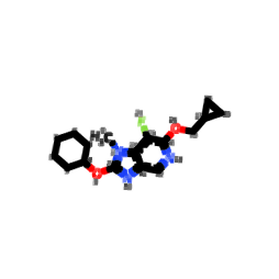 Cn1c(OC2CCCCC2)nc2cnc(OCC3CC3)c(F)c21